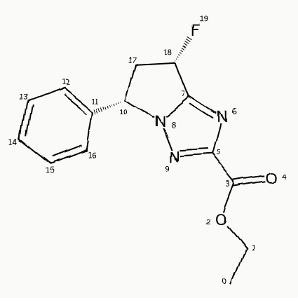 CCOC(=O)c1nc2n(n1)[C@H](c1ccccc1)C[C@@H]2F